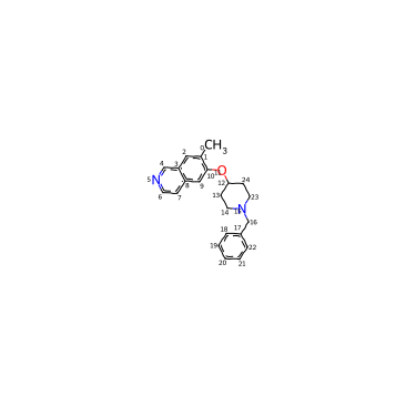 Cc1cc2cnccc2cc1OC1CCN(Cc2ccccc2)CC1